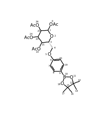 CC(=O)OC1O[C@H](COc2ccc(B3OC(C)(C)C(C)(C)O3)cc2)C(OC(C)=O)C(OC(C)=O)C1OC(C)=O